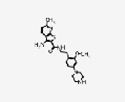 COc1cc(N2CCNCC2)ccc1CCNC(=O)c1sc2nc(C)ccc2c1N